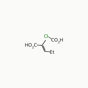 CCC=C(C)C(=O)O.O=C(O)Cl